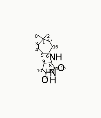 CC1(C)CCCC(NC2CCC(=O)NC2=O)CC1